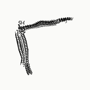 CO[Si](CCCS)(OC)OC.O.O.O.O.O.O.O.O.O.O.O.O.O.O.O.O.O.O.O.O.O.O.O.O.O.O.O.O.O.O.O.O.O.O.O.O.O.O.O.O.P.[W].[W].[W].[W].[W].[W].[W].[W].[W].[W].[W].[W]